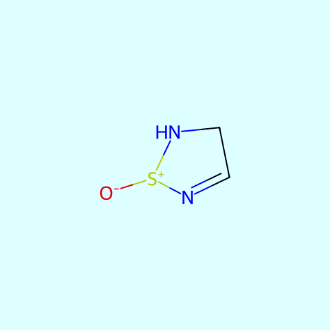 [O-][S+]1N=CCN1